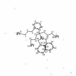 CC(C)CCCc1ccccc1[C](CCCC(C)C)(CCCC(C)C)[Al]([CH2]c1ccccc1)[CH2]c1ccccc1